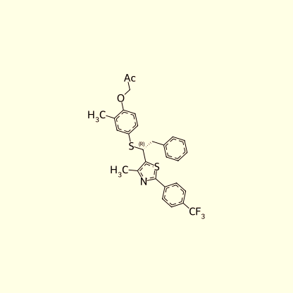 CC(=O)COc1ccc(S[C@H](Cc2ccccc2)c2sc(-c3ccc(C(F)(F)F)cc3)nc2C)cc1C